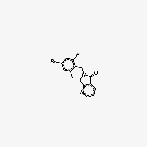 Cc1cc(Br)cc(F)c1CN1Cc2ncccc2C1=O